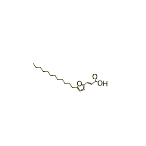 CCCCCCCCCCCCc1ccc(/C=C/C(=O)O)o1